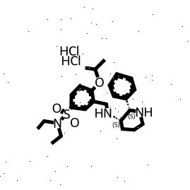 CCN(CC)S(=O)(=O)c1ccc(OC(C)C)c(CN[C@H]2CCCN[C@H]2c2ccccc2)c1.Cl.Cl